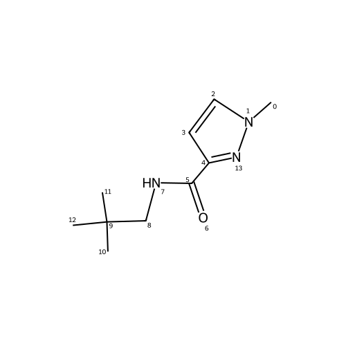 Cn1ccc(C(=O)NCC(C)(C)C)n1